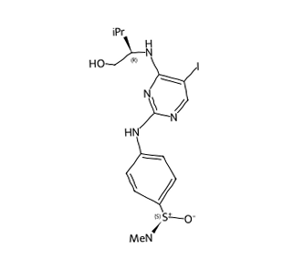 CN[S@+]([O-])c1ccc(Nc2ncc(I)c(N[C@@H](CO)C(C)C)n2)cc1